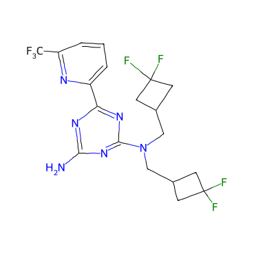 Nc1nc(-c2cccc(C(F)(F)F)n2)nc(N(CC2CC(F)(F)C2)CC2CC(F)(F)C2)n1